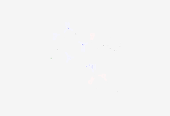 CC(C)(C)OC(=O)NC1CCCN(c2c(Br)cnc3[nH]cc(NC(=O)Cc4ccccc4)c23)C1